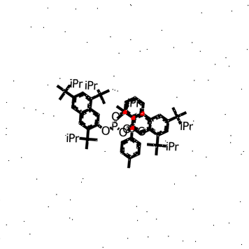 Cc1ccc(S(=O)(=O)c2ccccc2OP(Oc2cc3c(C(C)(C)C(C)C)cc(C(C)(C)C(C)C)cc3cc2C(C)(C)C(C)C)Oc2cc3c(C(C)(C)C(C)C)cc(C(C)(C)C(C)C)cc3cc2C(C)(C)C(C)C)cc1